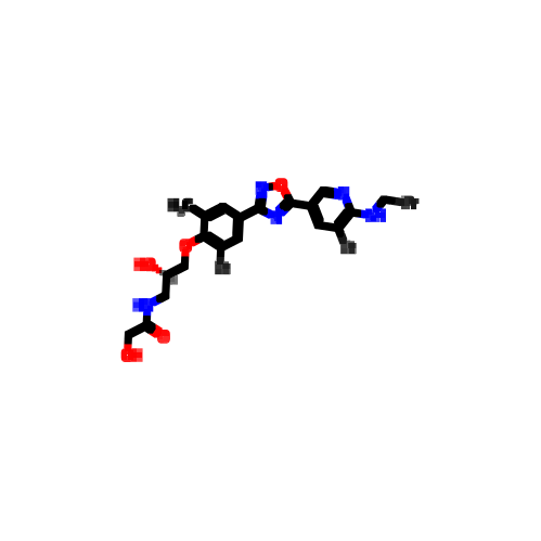 CCc1cc(-c2nc(-c3cc(C)c(OC[C@@H](O)CNC(=O)CO)c(CC)c3)no2)cnc1NCC(C)C